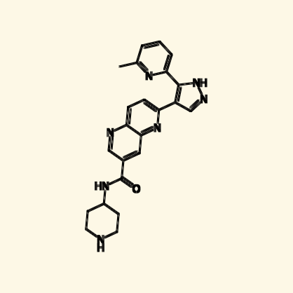 Cc1cccc(-c2[nH]ncc2-c2ccc3ncc(C(=O)NC4CCNCC4)cc3n2)n1